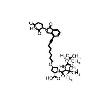 CC(C)(C)OC(=O)N[C@H](C(=O)N1C[C@@H](OCCCCCCC#Cc2cccc3c2CN(C2CCC(=O)NC2=O)C3=O)C[C@H]1C(=O)O)C(C)(C)C